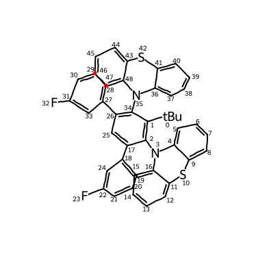 CC(C)(C)c1c(N2c3ccccc3Sc3ccccc32)c(-c2cccc(F)c2)cc(-c2cccc(F)c2)c1N1c2ccccc2Sc2ccccc21